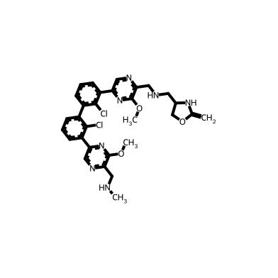 C=C1NC(CNCc2ncc(-c3cccc(-c4cccc(-c5cnc(CNC)c(OC)n5)c4Cl)c3Cl)nc2OC)CO1